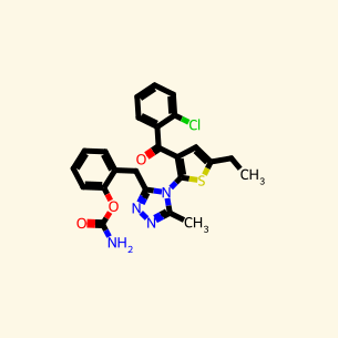 CCc1cc(C(=O)c2ccccc2Cl)c(-n2c(C)nnc2Cc2ccccc2OC(N)=O)s1